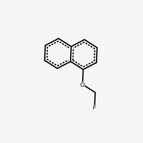 FCOc1cccc2ccccc12